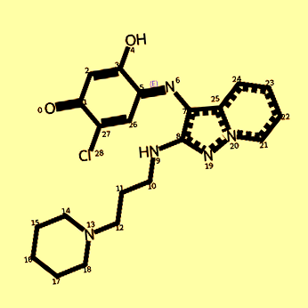 O=C1C=C(O)/C(=N/c2c(NCCCN3CCCCC3)nn3ccccc23)C=C1Cl